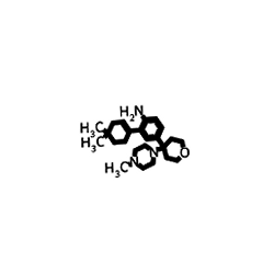 CN1CCN(C2(c3ccc(N)c(C4=CCC(C)(C)CC4)c3)CCOCC2)CC1